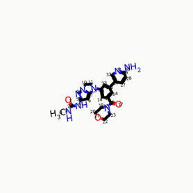 CNC(=O)Nc1cc2n(n1)CCN2c1cc(C(=O)N2CCOCC2)cc(-c2ccc(N)nc2)c1